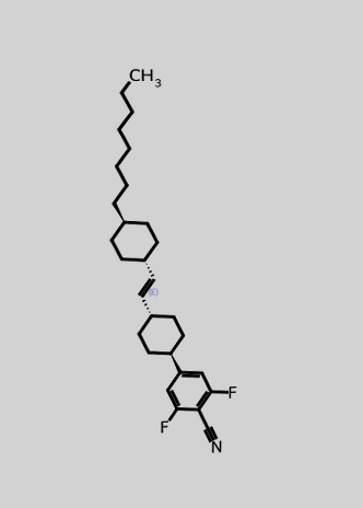 CCCCCCCC[C@H]1CC[C@H](/C=C/[C@H]2CC[C@H](c3cc(F)c(C#N)c(F)c3)CC2)CC1